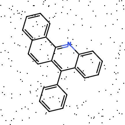 c1ccc(-c2c3ccccc3nc3c2ccc2ccccc23)cc1